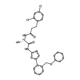 CCC[C@H](NC(=O)CCc1ccc(Cl)cc1Cl)C(=O)Nc1ncc(-c2ccccc2COc2ccccc2)s1